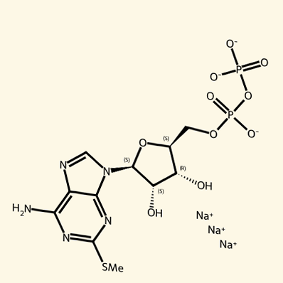 CSc1nc(N)c2ncn([C@H]3O[C@@H](COP(=O)([O-])OP(=O)([O-])[O-])[C@H](O)[C@@H]3O)c2n1.[Na+].[Na+].[Na+]